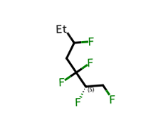 [CH2]CC(F)CC(F)(F)[C@@H](F)CF